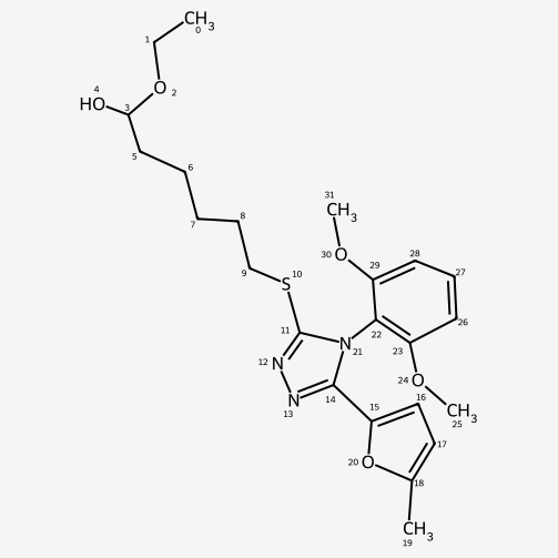 CCOC(O)CCCCCSc1nnc(-c2ccc(C)o2)n1-c1c(OC)cccc1OC